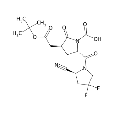 CC(C)(C)OC(=O)C[C@@H]1C[C@@H](C(=O)N2CC(F)(F)C[C@H]2C#N)N(C(=O)O)C1=O